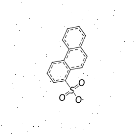 [O]S(=O)(=O)c1cccc2c1ccc1ccccc12